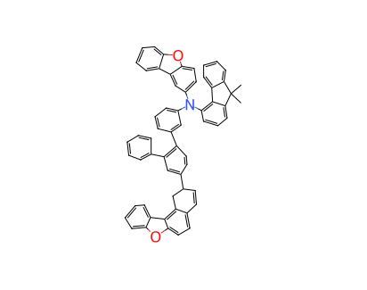 CC1(C)c2ccccc2-c2c(N(c3cccc(-c4ccc(C5C=Cc6ccc7oc8ccccc8c7c6C5)cc4-c4ccccc4)c3)c3ccc4oc5ccccc5c4c3)cccc21